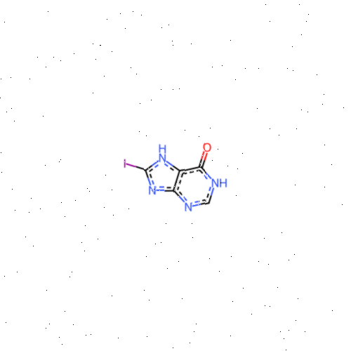 O=c1[nH]cnc2nc(I)[nH]c12